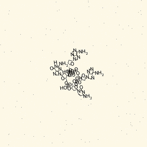 Nc1ccn([C@H]2C[C@@H](OP(=O)(O)OC[C@H]3O[C@@H](n4cnc5c(=O)[nH]c(N)nc54)C[C@H]3OP(=O)(O)OC[C@@H]3CC[C@H](n4cnc5c(N)ncnc54)O3)[C@@H](COP(=O)(O)O[C@@H]3C[C@H](n4cnc5c(N)ncnc54)O[C@@H]3COP(=O)(O)O)O2)c(=O)n1